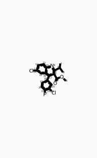 COC(=O)c1c(C(C)C)nc2ccc(Cl)cc2c1-c1ccc(F)c(Cl)c1